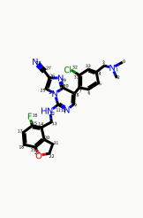 CN(C)Cc1ccc(-c2cnc(NCc3c(F)ccc4c3CCO4)n3cc(C#N)nc23)c(Cl)c1